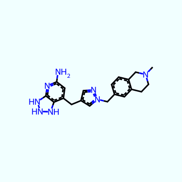 CN1CCc2cc(Cn3cc(Cc4cc(N)nc5c4NNN5)cn3)ccc2C1